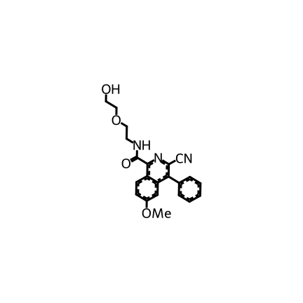 COc1ccc2c(C(=O)NCCOCCO)nc(C#N)c(-c3ccccc3)c2c1